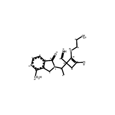 CC(N1Cc2c(ccnc2C(=O)O)C1=O)C1(C=N)CC(Cl)=C1OCCC(F)(F)F